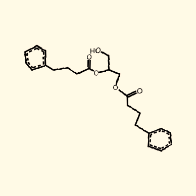 O=C(CCCc1ccccc1)OCC(CO)OC(=O)CCCc1ccccc1